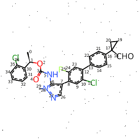 C[C@@H](OC(=O)Nc1c(-c2cc(Cl)c(-c3ccc(C4(C=O)CC4)cc3)cc2F)cnn1C)c1ccccc1Cl